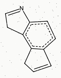 C1=Cc2ccc3c(c2C1)CC=N3